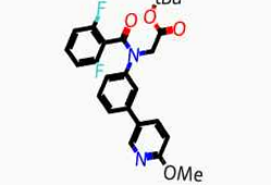 COc1ccc(-c2cccc(N(CC(=O)OC(C)(C)C)C(=O)c3c(F)cccc3F)c2)cn1